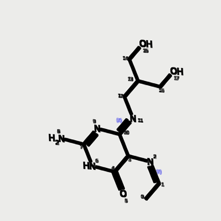 C/C=N\C1C(=O)NC(N)=N/C1=N\CC(CO)CO